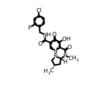 C[C@H]1C[C@H]2N(C)C(=O)c3c(O)c(=O)c(C(=O)NCc4ccc(Cl)cc4F)cn3N2C1